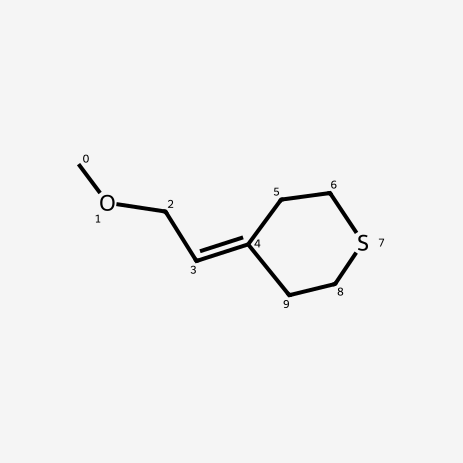 COCC=C1CCSCC1